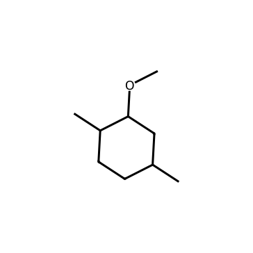 COC1CC(C)CCC1C